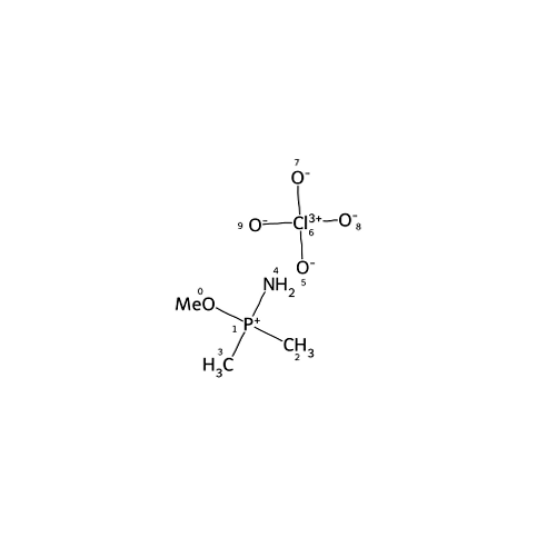 CO[P+](C)(C)N.[O-][Cl+3]([O-])([O-])[O-]